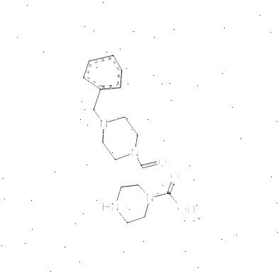 O=C([C@H]1CNCCN1C(=O)O)N1CCN(Cc2ccccc2)CC1